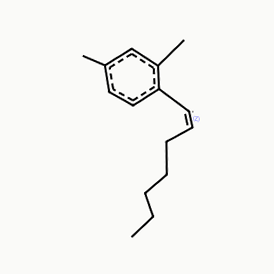 CCCCC/C=[C]\c1ccc(C)cc1C